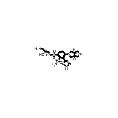 NC[C@@H](O)CNS(=O)(=O)c1ccc(N2C[C@H]3CNC[C@H]3C2)c(-c2nn[nH]n2)c1S(N)(=O)=O